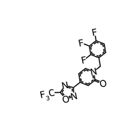 O=c1cc(-c2noc(C(F)(F)F)n2)ccn1Cc1ccc(F)c(F)c1F